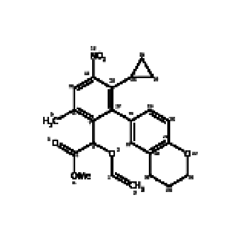 C=COC(C(=O)OC)c1c(C)cc([N+](=O)[O-])c(C2CC2)c1-c1ccc2c(c1)CCCO2